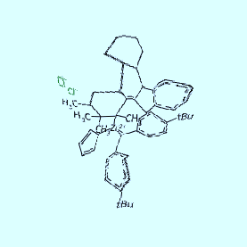 CC1CC2C(=C3Cc4ccccc4C3C3CCCCC23)[C](C)([Zr+2](=[C](c2ccc(C(C)(C)C)cc2)c2ccc(C(C)(C)C)cc2)[CH]2C=CC=C2)C1(C)C.[Cl-].[Cl-]